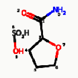 NC(=O)C1CCCO1.O=S(=O)(O)O